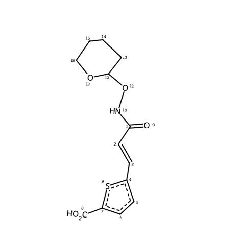 O=C(C=Cc1ccc(C(=O)O)s1)NOC1CCCCO1